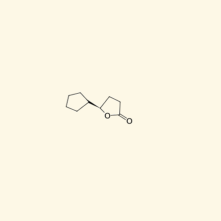 O=C1CC[C@H](C2CCCC2)O1